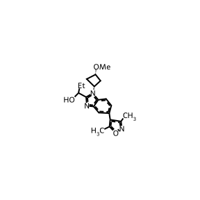 CCC(O)c1nc2cc(-c3c(C)noc3C)ccc2n1[C@H]1C[C@@H](OC)C1